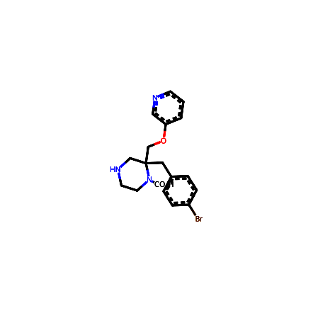 O=C(O)N1CCNCC1(COc1cccnc1)Cc1ccc(Br)cc1